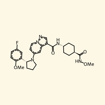 CONC(=O)[C@H]1CC[C@H](NC(=O)c2cnn3ccc(N4CCC[C@@H]4c4cc(F)ccc4OC)cc23)CC1